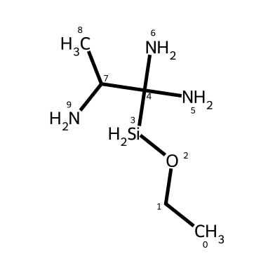 CCO[SiH2]C(N)(N)C(C)N